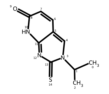 CC(C)n1cc2ccc(=O)[nH]c2nc1=S